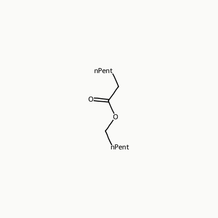 [CH2]CCCCCOC(=O)CCCCCC